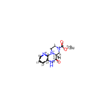 CC(C)(C)OC(=O)N1CCN2c3ncccc3NC(=O)[C@@H]2C1